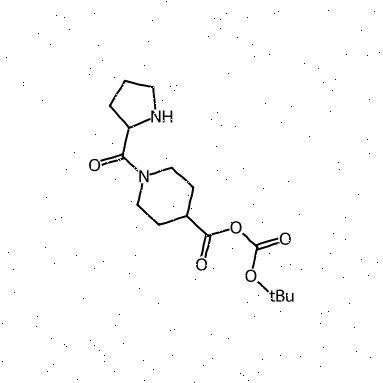 CC(C)(C)OC(=O)OC(=O)C1CCN(C(=O)C2CCCN2)CC1